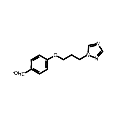 O=[C]c1ccc(OCCCn2cncn2)cc1